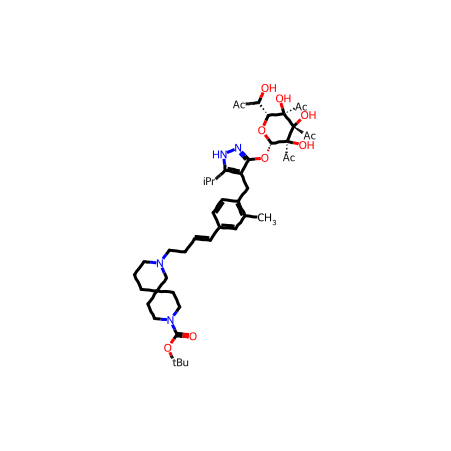 CC(=O)C(O)[C@H]1O[C@@H](Oc2n[nH]c(C(C)C)c2Cc2ccc(/C=C/CCN3CCCC4(CCN(C(=O)OC(C)(C)C)CC4)C3)cc2C)[C@@](O)(C(C)=O)[C@](O)(C(C)=O)[C@@]1(O)C(C)=O